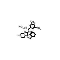 Cc1cc(C)cc(CN(C)C(=O)C2(N3CCNCC3)CCc3ccccc32)c1.Cl.Cl